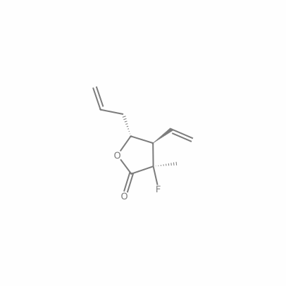 C=CC[C@H]1OC(=O)[C@](C)(F)[C@@H]1C=C